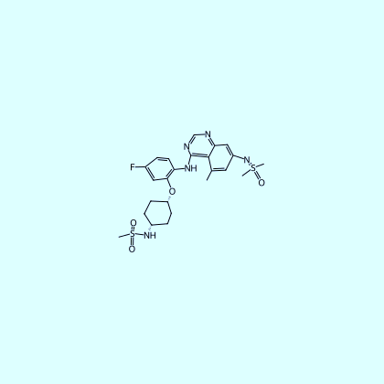 Cc1cc(N=S(C)(C)=O)cc2ncnc(Nc3ccc(F)cc3O[C@H]3CC[C@@H](NS(C)(=O)=O)CC3)c12